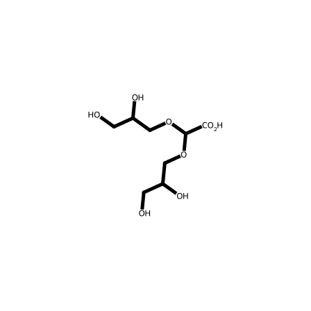 O=C(O)C(OCC(O)CO)OCC(O)CO